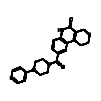 O=C(c1ccc2[nH]c(=O)c3c(c2c1)CCSC3)N1CCN(c2ccncc2)CC1